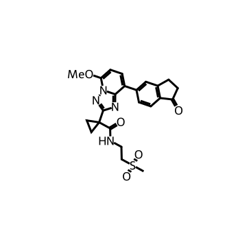 COc1ccc(-c2ccc3c(c2)CCC3=O)c2nc(C3(C(=O)NCCS(C)(=O)=O)CC3)nn12